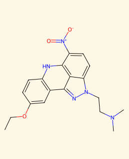 CCOc1ccc2c(c1)-c1nn(CCN(C)C)c3ccc([N+](=O)[O-])c(c13)N2